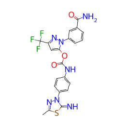 Cc1nn(-c2ccc(NC(=O)Oc3cc(C(F)(F)F)nn3-c3cccc(C(N)=O)c3)cc2)c(=N)s1